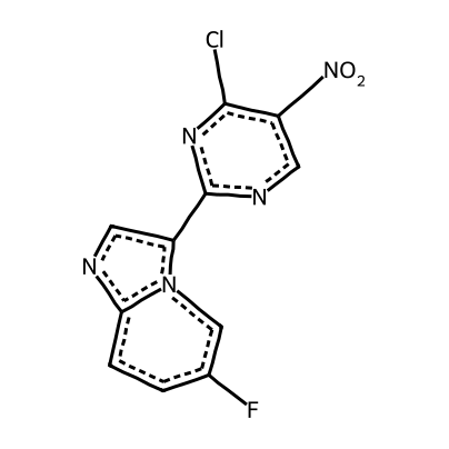 O=[N+]([O-])c1cnc(-c2cnc3ccc(F)cn23)nc1Cl